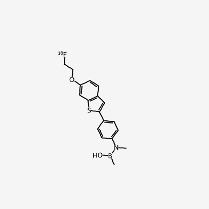 CB(O)N(C)c1ccc(-c2cc3ccc(OCC[18F])cc3s2)cc1